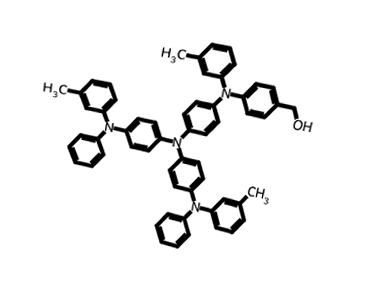 Cc1cccc(N(c2ccccc2)c2ccc(N(c3ccc(N(c4ccccc4)c4cccc(C)c4)cc3)c3ccc(N(c4ccc(CO)cc4)c4cccc(C)c4)cc3)cc2)c1